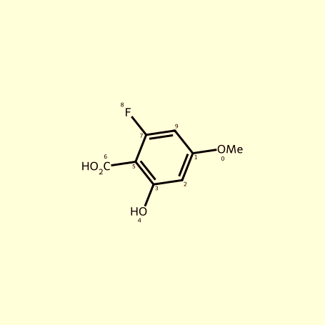 COc1cc(O)c(C(=O)O)c(F)c1